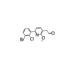 COc1nc(-c2cccc(Br)c2Cl)ccc1CC=O